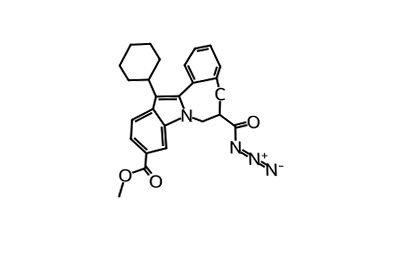 COC(=O)c1ccc2c(C3CCCCC3)c3n(c2c1)CC(C(=O)N=[N+]=[N-])Cc1ccccc1-3